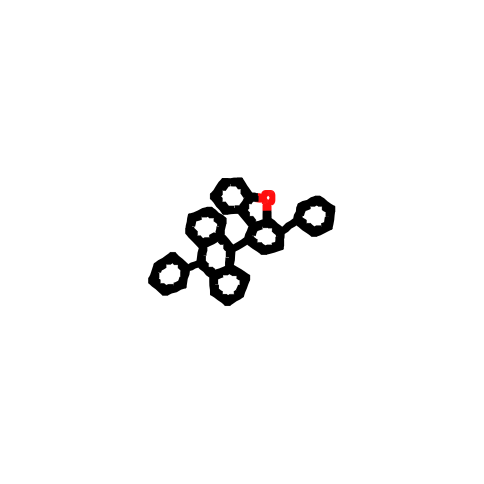 c1ccc(-c2c3ccccc3c(-c3ccc(-c4ccccc4)c4oc5ccccc5c34)c3ccccc23)cc1